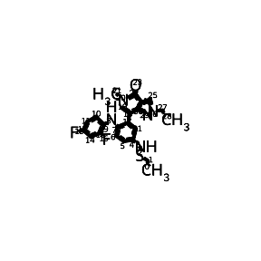 CCSNc1ccc(Nc2ccc(F)cc2F)c(-c2cn(C)c(=O)c3cn(CC)nc23)c1